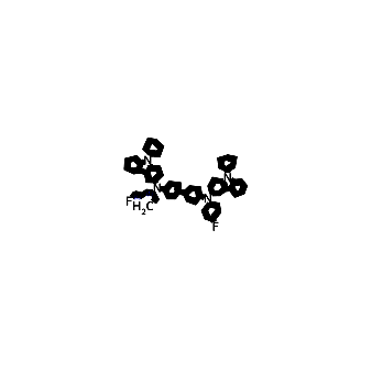 C=C/C(=C\C=C\F)N(c1ccc(-c2ccc(N(c3ccc(F)cc3)C3C=Cc4c(c5ccccc5n4-c4ccccc4)C3)cc2)cc1)c1ccc2c(c1)c1ccccc1n2-c1ccccc1